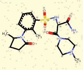 Cc1c(N2C(=O)CCC2C)cccc1S(=O)(=O)N[C@@H](C(N)=O)C(=O)N1CCN(C)CC1